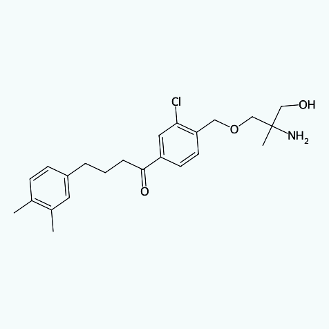 Cc1ccc(CCCC(=O)c2ccc(COCC(C)(N)CO)c(Cl)c2)cc1C